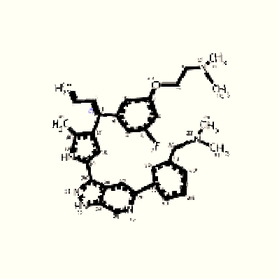 C=C/C=C(/c1cc(F)cc(OCCN(C)C)c1)c1cc(-c2n[nH]c3cnc(-c4cccc(CN(C)C)c4)cc23)[nH]c1C